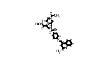 CC(=O)N1CCN(C(CNS(=O)(=O)c2ccc(OCc3cc(C)nc4ccccc34)cc2)C(=O)NO)CC1